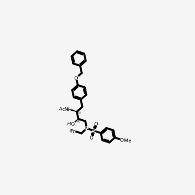 COc1ccc(S(=O)(=O)N(CC(C)C)C[C@@H](O)[C@H](Cc2ccc(OCc3ccccc3)cc2)NC(C)=O)cc1